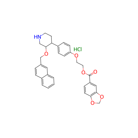 Cl.O=C(OCCOc1ccc(C2CCNCC2OCc2ccc3ccccc3c2)cc1)c1ccc2c(c1)OCO2